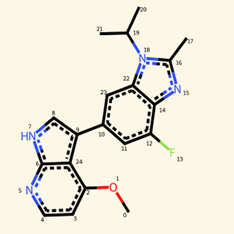 COc1ccnc2[nH]cc(-c3cc(F)c4nc(C)n(C(C)C)c4c3)c12